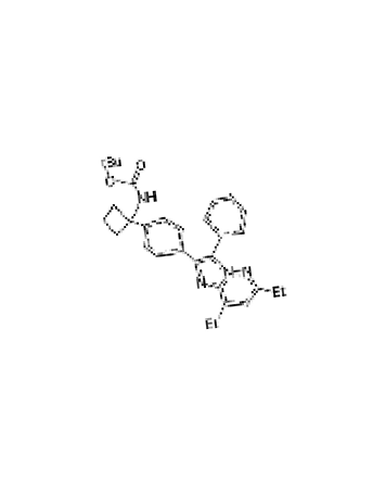 CCc1cc(CC)c2nc(-c3ccc(C4(NC(=O)OC(C)(C)C)CCC4)cc3)c(-c3ccccc3)n2n1